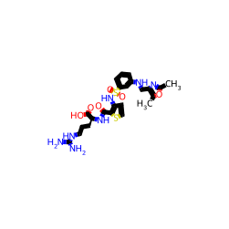 Cc1nc(CNc2cccc(S(=O)(=O)Nc3ccsc3C(=O)N[C@@H](CCCNC(N)N)C(=O)O)c2)c(C)o1